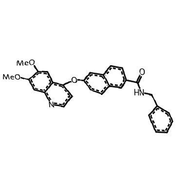 COc1cc2nccc(Oc3ccc4cc(C(=O)NCc5ccccc5)ccc4c3)c2cc1OC